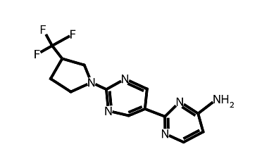 Nc1ccnc(-c2cnc(N3CCC(C(F)(F)F)C3)nc2)n1